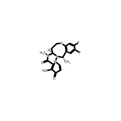 C[C@H]1c2cc(F)c(F)cc2OCC[C@@H]2N(C)C(=O)c3c(O)c(=O)ccn3N21